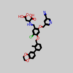 Cc1c(COc2cc(OCc3cncc(C#N)c3)c(CNC(CC(=O)O)C(=O)O)cc2Cl)cccc1-c1ccc2c(c1)OCCO2